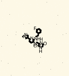 Cn1cc(-c2ccc(N(C=O)CC3CNCC(=O)N3)c(NCCc3cccc(F)c3)n2)cn1